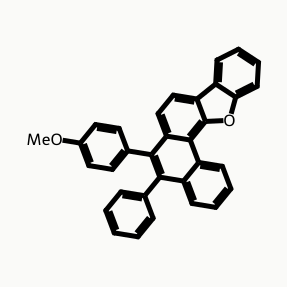 COc1ccc(-c2c(-c3ccccc3)c3ccccc3c3c2ccc2c4ccccc4oc23)cc1